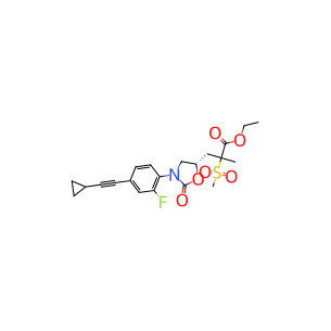 CCOC(=O)C(C)(C[C@H]1CN(c2ccc(C#CC3CC3)cc2F)C(=O)O1)S(C)(=O)=O